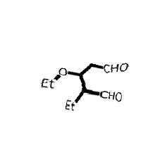 CCOC(CC=O)C(C=O)CC